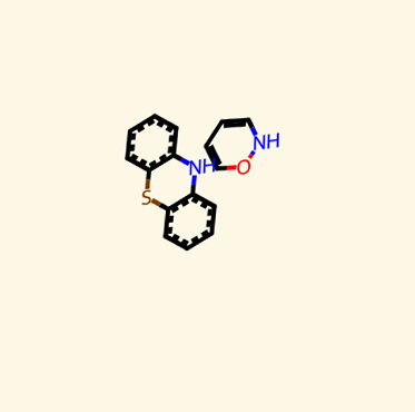 C1=CNOC=C1.c1ccc2c(c1)Nc1ccccc1S2